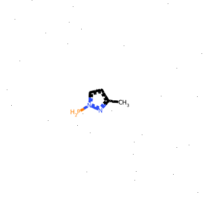 Cc1ccn(P)n1